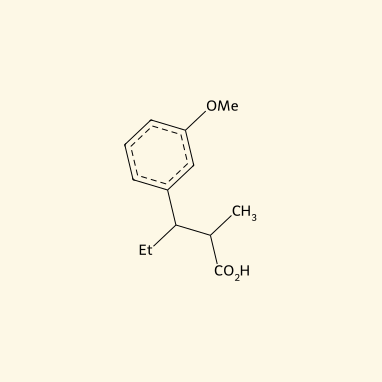 CCC(c1cccc(OC)c1)C(C)C(=O)O